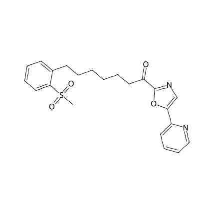 CS(=O)(=O)c1ccccc1CCCCCCC(=O)c1ncc(-c2ccccn2)o1